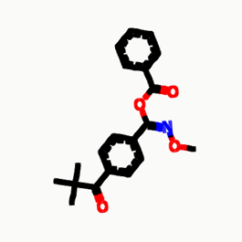 CON=C(OC(=O)c1ccccc1)c1ccc(C(=O)C(C)(C)C)cc1